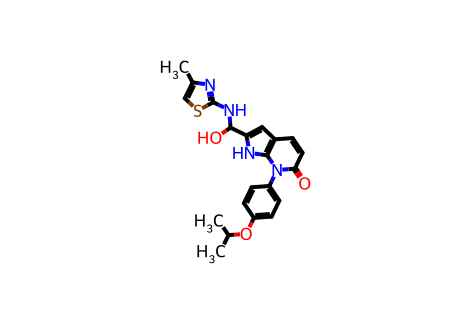 Cc1csc(NC(O)c2cc3ccc(=O)n(-c4ccc(OC(C)C)cc4)c3[nH]2)n1